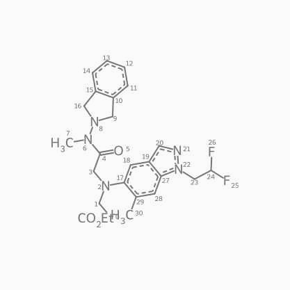 CCOC(=O)CN(CC(=O)N(C)N1Cc2ccccc2C1)c1cc2cnn(CC(F)F)c2cc1C